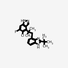 CC(C)(C)c1nc2c(CC(C)(C)c3c(Cl)c(F)cc4[nH]ncc34)cccc2[nH]1